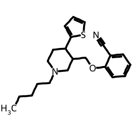 CCCCCN1CCC(c2cccs2)C(COc2ccccc2C#N)C1